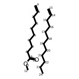 C=CCCCCCCCC(=O)OC.C=CCCCCCCCCCC